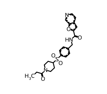 CCC(=O)N1CCC(S(=O)(=O)c2ccc(CNC(=O)c3cc4ccncc4o3)cc2)CC1